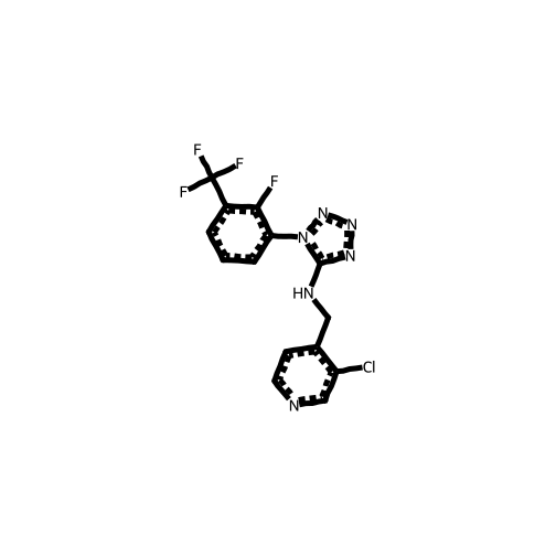 Fc1c(-n2nnnc2NCc2ccncc2Cl)cccc1C(F)(F)F